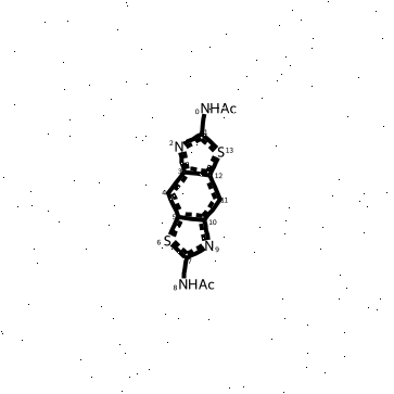 CC(=O)Nc1nc2cc3sc(NC(C)=O)nc3cc2s1